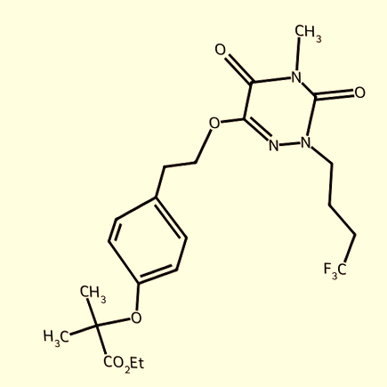 CCOC(=O)C(C)(C)Oc1ccc(CCOc2nn(CCCC(F)(F)F)c(=O)n(C)c2=O)cc1